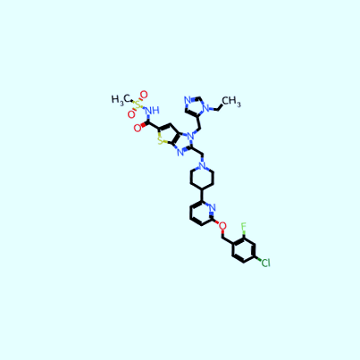 CCn1cncc1Cn1c(CN2CCC(c3cccc(OCc4ccc(Cl)cc4F)n3)CC2)nc2sc(C(=O)NS(C)(=O)=O)cc21